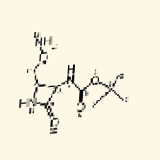 CC(C)(C)OC(=O)NC1C(=O)NC1CON